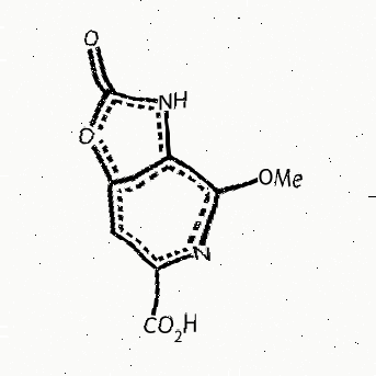 COc1nc(C(=O)O)cc2oc(=O)[nH]c12